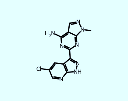 Cn1ncc2c(N)nc(-c3n[nH]c4ncc(Cl)cc34)nc21